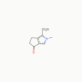 CCOC(=O)c1c2c(cn1C)C(=O)CC2